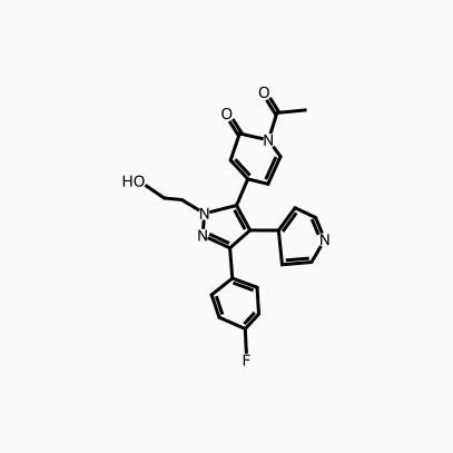 CC(=O)n1ccc(-c2c(-c3ccncc3)c(-c3ccc(F)cc3)nn2CCO)cc1=O